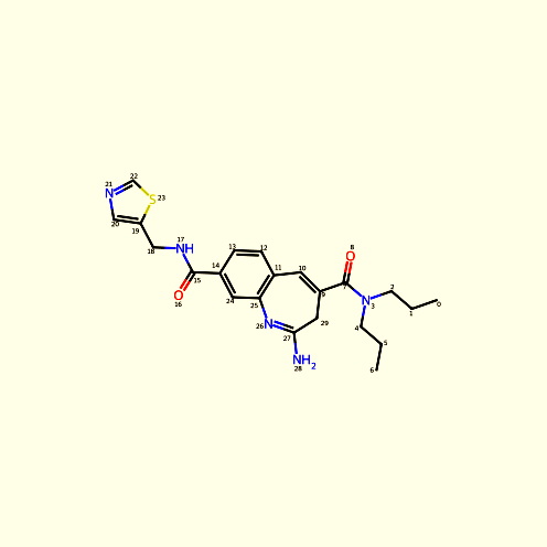 CCCN(CCC)C(=O)C1=Cc2ccc(C(=O)NCc3cncs3)cc2N=C(N)C1